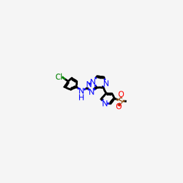 CS(=O)(=O)c1cncc(-c2nccn3nc(Nc4ccc(Cl)cc4)nc23)c1